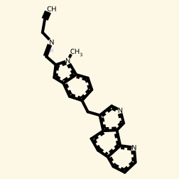 C#CC/N=C/c1cc2cc(Cc3cncc4c3ccc3cccnc34)ccc2n1C